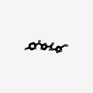 CC(C)(C)c1cc(NC(=O)c2csc(Nc3ccc(F)cn3)n2)no1